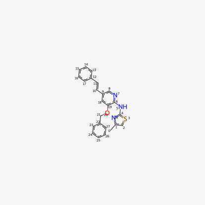 Cc1csc(Nc2ncc(C=Cc3ccccc3)cc2OCc2ccccc2)n1